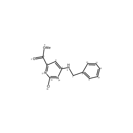 COC(=O)c1cc(NCc2ccccc2)nc(Cl)n1